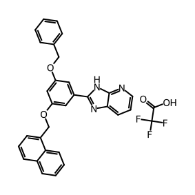 O=C(O)C(F)(F)F.c1ccc(COc2cc(OCc3cccc4ccccc34)cc(-c3nc4cccnc4[nH]3)c2)cc1